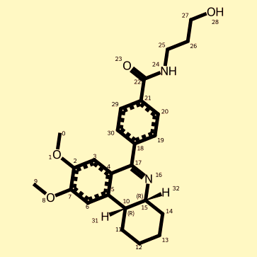 COc1cc2c(cc1OC)[C@H]1CCCC[C@H]1N=C2c1ccc(C(=O)NCCCO)cc1